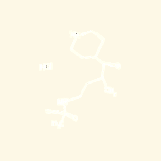 CC(CCNS(C)(=O)=O)C(=O)C1CCNCC1.Cl